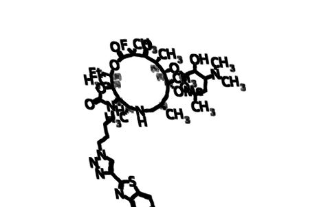 CC[C@H]1OC(=O)C(C)(F)C(=O)[C@@H](C)[C@@H](O[C@@H]2OC(C)CC(N(C)C)C2O)[C@](C)(OC)C[C@@H](C)CN[C@H](C)[C@H]2N(CCCCn3cc(-c4nc5ccccc5s4)nn3)C(=O)O[C@]12C